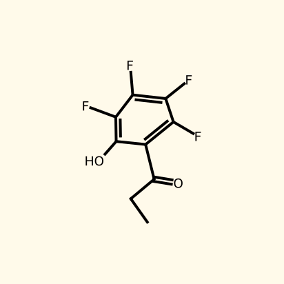 CCC(=O)c1c(O)c(F)c(F)c(F)c1F